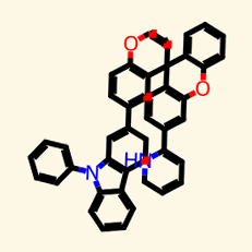 C1=CCNC(c2ccc3c(c2)Oc2ccccc2C32c3ccccc3Oc3ccc(C4=Cc5c(c6ccccc6n5-c5ccccc5)CC4)cc32)=C1